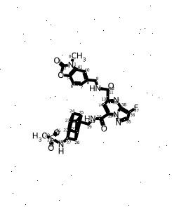 Cn1c(=O)oc2ccc(CNC(=O)c3cc(C(=O)NCC45C6C7C4C4C5C6C74NS(C)(=O)=O)n4ncc(F)c4n3)cc21